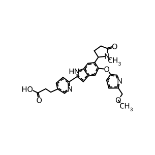 COCc1ccc(Oc2cc3cc(-c4ccc(CCC(=O)O)cn4)[nH]c3cc2C2CCC(=O)N2C)cn1